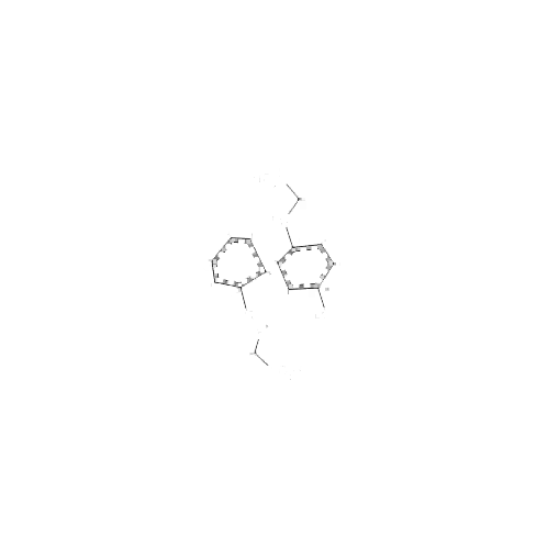 Clc1ccccc1.O=C(O)CF.O=C(O)COc1ccc(Cl)cc1